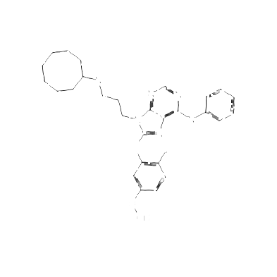 COc1ccc(I)c(Sc2nc3c(Nc4ccccc4)ncnc3n2CCCNC2CCCCCCC2)c1